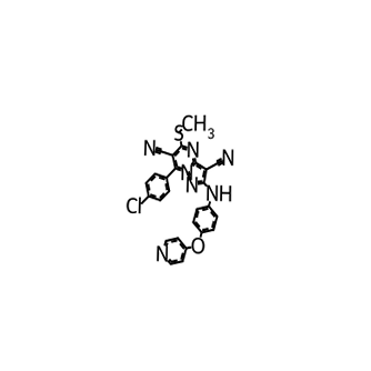 CSc1nc2c(C#N)c(Nc3ccc(Oc4ccncc4)cc3)nn2c(-c2ccc(Cl)cc2)c1C#N